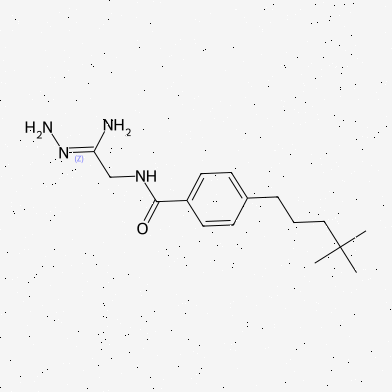 CC(C)(C)CCCc1ccc(C(=O)NC/C(N)=N/N)cc1